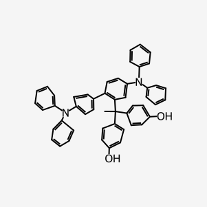 CC(c1ccc(O)cc1)(c1ccc(O)cc1)c1cc(N(c2ccccc2)c2ccccc2)ccc1-c1ccc(N(c2ccccc2)c2ccccc2)cc1